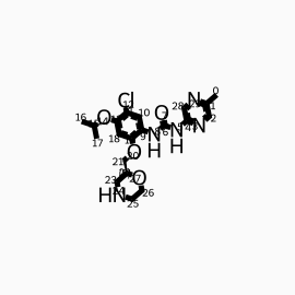 Cc1cnc(NC(=O)Nc2cc(Cl)c(OC(C)C)cc2OC[C@@H]2CNCCO2)cn1